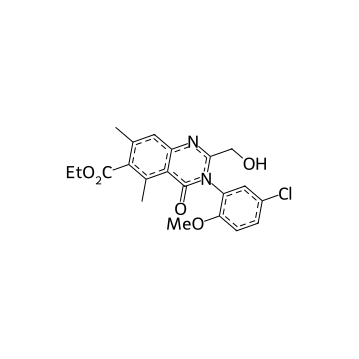 CCOC(=O)c1c(C)cc2nc(CO)n(-c3cc(Cl)ccc3OC)c(=O)c2c1C